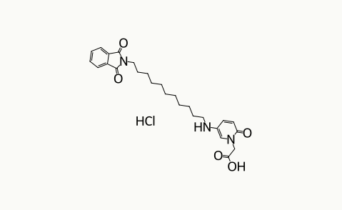 Cl.O=C(O)Cn1cc(NCCCCCCCCCCCN2C(=O)c3ccccc3C2=O)ccc1=O